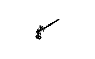 CCCCCCCCCCCCCCCOC(=O)C[C@H](NC(=O)C1(C(C)C)CC(c2nccc3ccccc23)=NO1)C(=O)CF